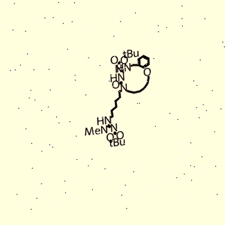 CNC(=NC(=O)OC(C)(C)C)NCCCCCCN1CCCCCCOc2ccccc2CNC(=NC(=O)OC(C)(C)C)NC1=O